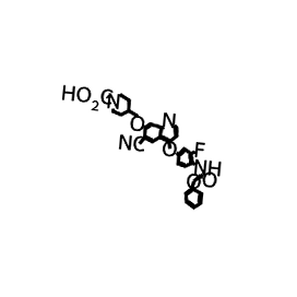 N#Cc1cc2c(Oc3ccc(NC(=O)Oc4ccccc4)c(F)c3)ccnc2cc1OCC1CCN(C(=O)O)CC1